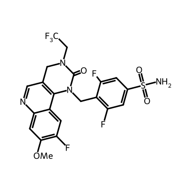 COc1cc2ncc3c(c2cc1F)N(Cc1c(F)cc(S(N)(=O)=O)cc1F)C(=O)N(CC(F)(F)F)C3